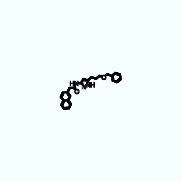 O=C(Cc1ccc2ccccc2c1)Nc1cc(CCCOCc2ccccc2)[nH]n1